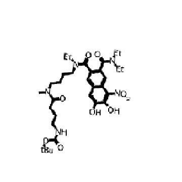 CCN(CC)C(=O)c1cc2c([N+](=O)[O-])c(O)c(O)cc2cc1C(=O)N(CC)CCCCN(C)C(=O)CCCNC(=O)OC(C)(C)C